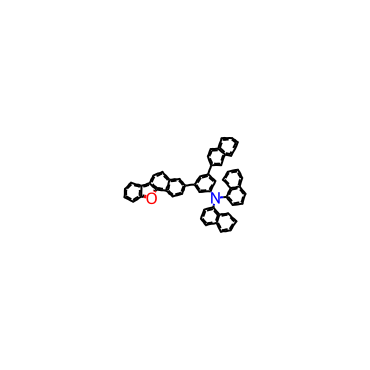 c1ccc2cc(-c3cc(-c4ccc5c(ccc6c7ccccc7oc56)c4)cc(N(c4cccc5ccccc45)c4cccc5ccccc45)c3)ccc2c1